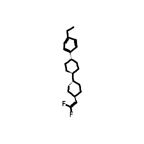 CCc1ccc([C@H]2CC[C@H]([C@H]3CC[C@H](C=C(F)F)CC3)CC2)cc1